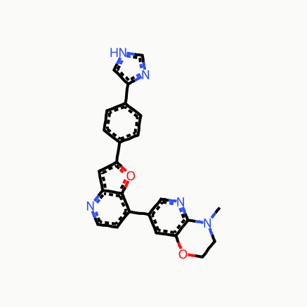 CN1CCOc2cc(-c3ccnc4cc(-c5ccc(-c6c[nH]cn6)cc5)oc34)cnc21